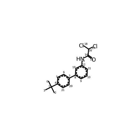 CC(C)(C)c1ccc(-c2cccc(NC(=O)C(Cl)Cl)c2)cc1